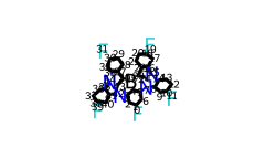 Fc1cc2c3c(c1)-n1c4cc(F)ccc4n4c5cc(F)ccc5c(c14)B3c1c3ccc(F)cc3n3c4ccc(F)cc4n-2c13